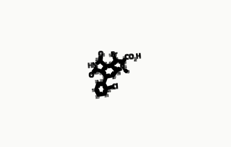 Cn1c(C(=O)O)c(Br)c2c3c(c(-c4ccccc4Cl)cc21)C(=O)NC3=O